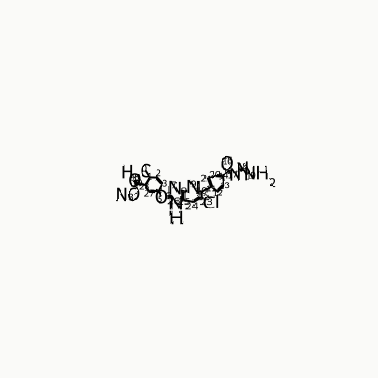 Cc1ccc(Oc2nc3nc(-c4ccc(C(=O)N=NN)cc4)c(Cl)cc3[nH]2)cc1C(=O)N=O